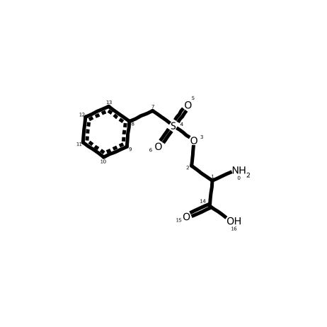 NC(COS(=O)(=O)Cc1ccccc1)C(=O)O